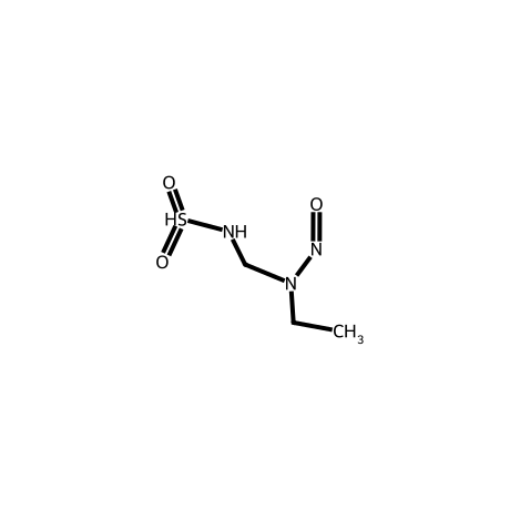 CCN(CN[SH](=O)=O)N=O